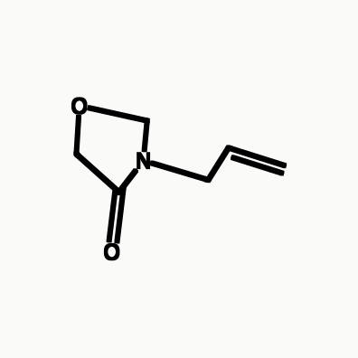 C=CCN1COCC1=O